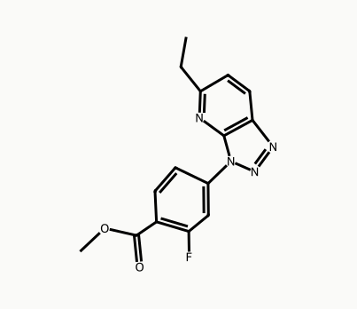 CCc1ccc2nnn(-c3ccc(C(=O)OC)c(F)c3)c2n1